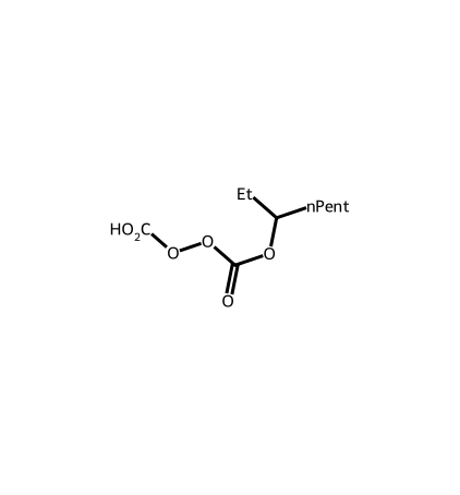 CCCCCC(CC)OC(=O)OOC(=O)O